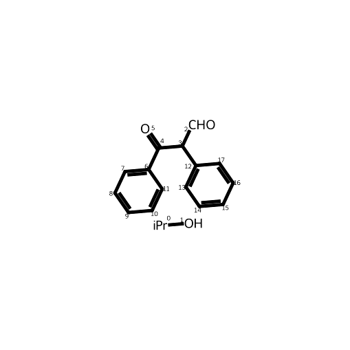 CC(C)O.O=CC(C(=O)c1ccccc1)c1ccccc1